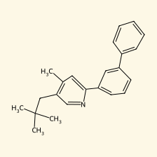 Cc1cc(-c2cccc(-c3ccccc3)c2)ncc1CC(C)(C)C